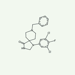 O=C1NCN(c2cc(Cl)c(F)c(Cl)c2)C12CCN(Cc1ccccc1)CC2